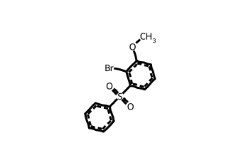 COc1cccc(S(=O)(=O)c2ccccc2)c1Br